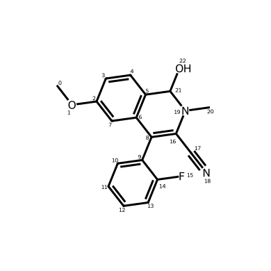 COc1ccc2c(c1)C(c1ccccc1F)=C(C#N)N(C)C2O